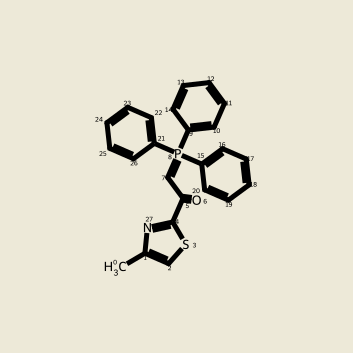 Cc1csc(C(=O)C=P(c2ccccc2)(c2ccccc2)c2ccccc2)n1